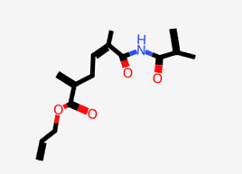 C=CCOC(=O)C(=C)CC=C(C)C(=O)NC(=O)C(=C)C